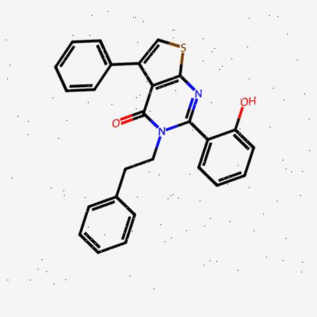 O=c1c2c(-c3ccccc3)csc2nc(-c2ccccc2O)n1CCc1ccccc1